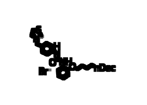 CCCCCCCCCCCCCCOc1ccccc1NC(=O)Nc1ccc(C[n+]2ccsc2)cc1.[Br-]